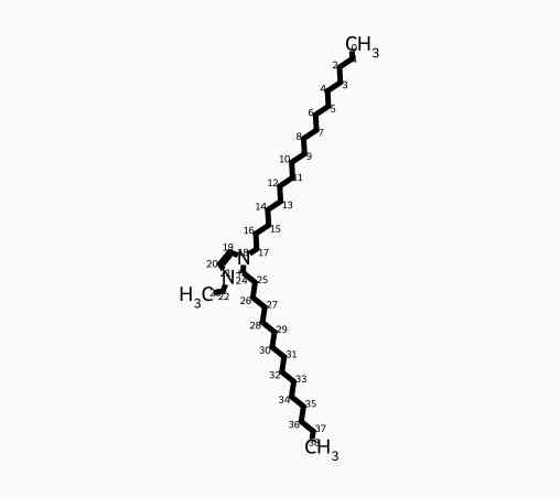 CCCCCCCCCCCCCCCCCCn1cc[n+](CC)c1CCCCCCCCCCCCCC